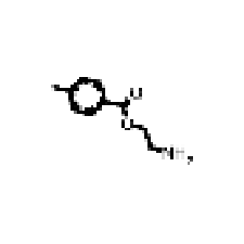 NCCOC(=O)c1ccc(I)cc1